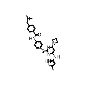 Cc1cc(Nc2cc(N3CCC3)nc(Sc3ccc(NC(=O)c4ccc(CN(C)C)cc4)cc3)n2)[nH]n1